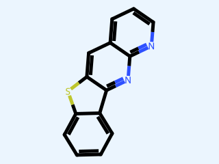 c1cnc2nc3c(cc2c1)sc1ccccc13